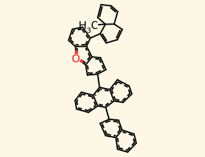 CC12C=CC=CC1C=CC=C2c1cccc2oc3cc(-c4c5ccccc5c(-c5ccc6ccccc6c5)c5ccccc45)ccc3c12